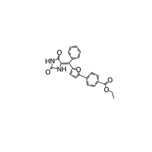 CCOC(=O)c1ccc(-c2ccc(C(=C3NC(=O)NC3=O)c3ccccc3)o2)cc1